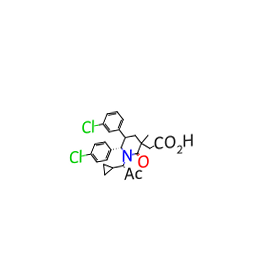 CC(=O)[C@H](C1CC1)N1C(=O)C(C)(CC(=O)O)CC(c2cccc(Cl)c2)[C@H]1c1ccc(Cl)cc1